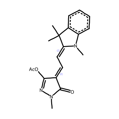 CC(=O)OC1=NN(C)C(=O)/C1=C/C=C1\N(C)c2ccccc2C1(C)C